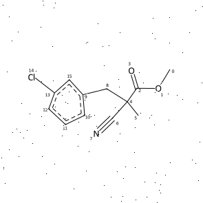 COC(=O)C(C)(C#N)Cc1cccc(Cl)c1